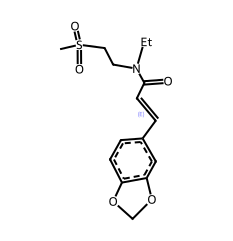 CCN(CCS(C)(=O)=O)C(=O)/C=C/c1ccc2c(c1)OCO2